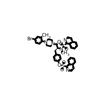 Cc1cc(Br)ccc1N1CCN(C(=O)[C@H](Cc2ccc(OS(=O)(=O)c3nccc4ccccc34)cc2)N(C)S(=O)(=O)c2nccc3ccccc23)CC1